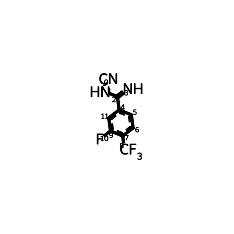 N#CNC(=N)c1ccc(C(F)(F)F)c(F)c1